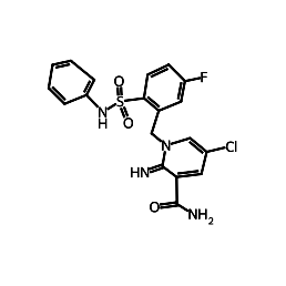 N=c1c(C(N)=O)cc(Cl)cn1Cc1cc(F)ccc1S(=O)(=O)Nc1ccccc1